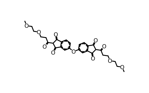 COCCOCCC(=O)C1C(=O)c2ccc(Oc3ccc4c(c3)C(=O)C(C(=O)CCOCCOC)C4=O)cc2C1=O